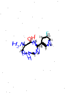 Nc1cn[nH]cnc(-c2cncc(F)c2)nc1O